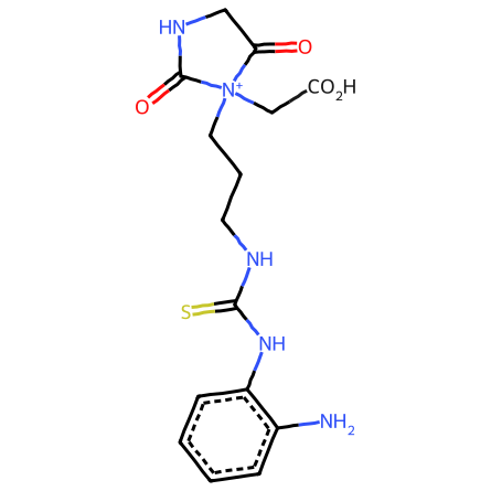 Nc1ccccc1NC(=S)NCCC[N+]1(CC(=O)O)C(=O)CNC1=O